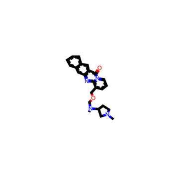 CN1CCC(N(C)COCc2cccn3c(=O)c4cc5ccccc5cc4nc23)C1